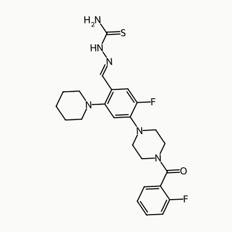 NC(=S)NN=Cc1cc(F)c(N2CCN(C(=O)c3ccccc3F)CC2)cc1N1CCCCC1